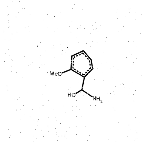 COc1ccccc1C(N)O